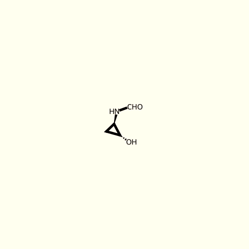 O=CN[C@@H]1C[C@H]1O